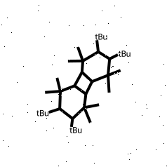 CC(C)(C)C1C(C(C)(C)C)C(C)(C)C2C(C3C2C(C)(C)C(C(C)(C)C)C(C(C)(C)C)C3(C)C)C1(C)C